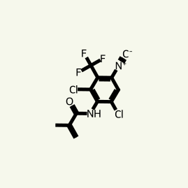 [C-]#[N+]c1cc(Cl)c(NC(=O)C(=C)C)c(Cl)c1C(F)(F)F